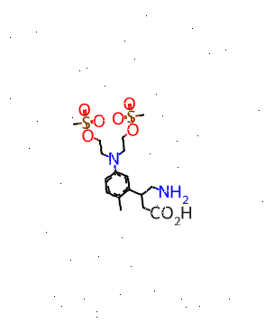 Cc1ccc(N(CCOS(C)(=O)=O)CCOS(C)(=O)=O)cc1C(CN)CC(=O)O